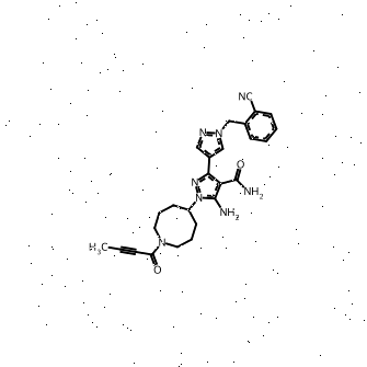 CC#CC(=O)N1CCCC(n2nc(-c3cnn(Cc4ccccc4C#N)c3)c(C(N)=O)c2N)CCC1